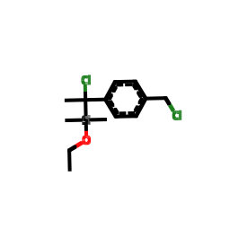 CCO[Si](C)(C)C(C)(Cl)c1ccc(CCl)cc1